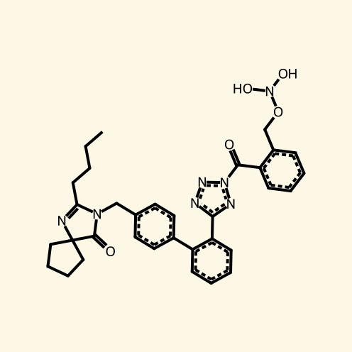 CCCCC1=NC2(CCCC2)C(=O)N1Cc1ccc(-c2ccccc2-c2nnn(C(=O)c3ccccc3CON(O)O)n2)cc1